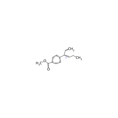 C=C/C(=C\CC)c1ccc(C(=O)OC)cc1